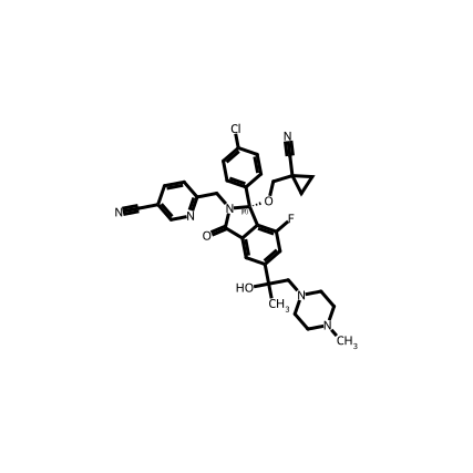 CN1CCN(CC(C)(O)c2cc(F)c3c(c2)C(=O)N(Cc2ccc(C#N)cn2)[C@@]3(OCC2(C#N)CC2)c2ccc(Cl)cc2)CC1